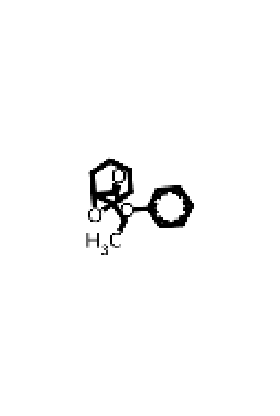 CCC12CCCCC1(C(=O)Oc1ccccc1)O2